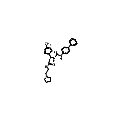 Cc1ccc([C@H](CC(=O)NCCN2CCCC2)NC(=O)Nc2ccc(-c3ccccc3)cc2)cc1